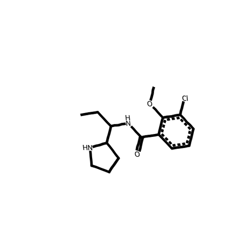 CCC(NC(=O)c1cccc(Cl)c1OC)C1CCCN1